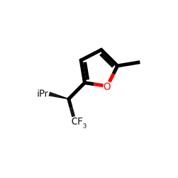 Cc1ccc([C@H](C(C)C)C(F)(F)F)o1